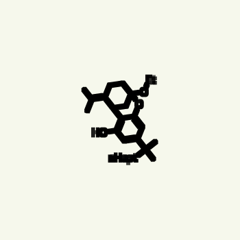 CCCCCCCC(C)(C)c1cc(O)c2c(c1)OC1(OCC)CCC(=C(C)C)C2C1